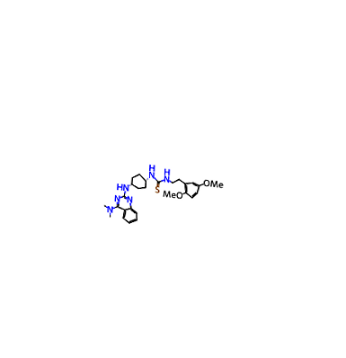 COc1ccc(OC)c(CCNC(=S)N[C@H]2CC[C@@H](Nc3nc(N(C)C)c4ccccc4n3)CC2)c1